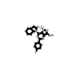 CCCc1nn(C)c2c(-n3ccc4ccccc43)nc(-c3ccc(F)cc3)nc12